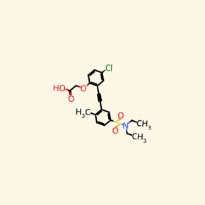 CCN(CC)S(=O)(=O)c1ccc(C)c(C#Cc2cc(Cl)ccc2OCC(=O)O)c1